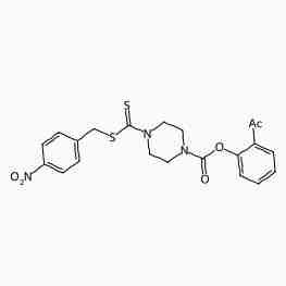 CC(=O)c1ccccc1OC(=O)N1CCN(C(=S)SCc2ccc([N+](=O)[O-])cc2)CC1